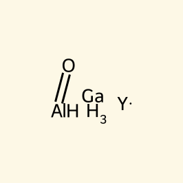 [GaH3].[O]=[AlH].[Y]